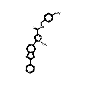 Cn1nc(C(=O)NCc2ccc(C(=O)O)cc2)cc1-c1ccc2[nH]c(-c3ccncc3)cc2c1